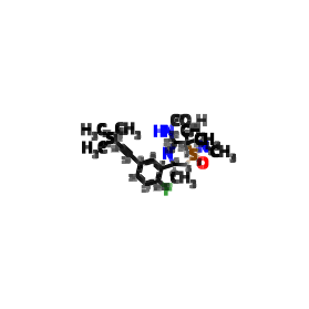 CN=[S@]1(=O)C[C@@](C)(c2cc(C#C[Si](C)(C)C)ccc2F)N=C(NC(=O)O)C1(C)C